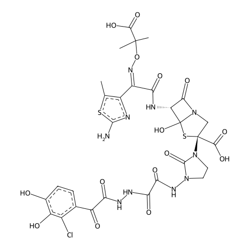 Cc1sc(N)nc1/C(=N/OC(C)(C)C(=O)O)C(=O)N[C@@H]1C(=O)N2C[C@@](C(=O)O)(N3CCN(NC(=O)C(=O)NNC(=O)C(=O)c4ccc(O)c(O)c4Cl)C3=O)SC12O